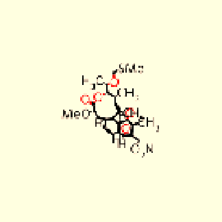 CO[C@H]1C[C@H]2C=C[C@@H]3[C@H]4C(=O)C(C)C(C[N+](=O)[O-])[C@@H]3O[C@@]24/C(C)=C/[C@@H](C)[C@@H]([C@@H](C)OCSC)OC1=O